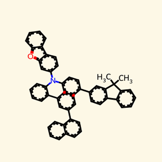 CC1(C)c2ccccc2-c2ccc(-c3ccc(N(c4ccc5c(c4)oc4ccccc45)c4ccccc4-c4cccc(-c5cccc6ccccc56)c4)cc3)cc21